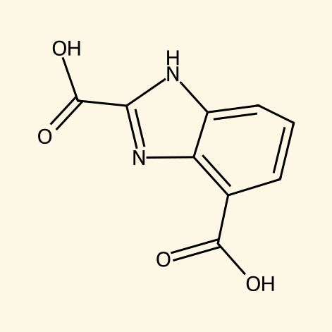 O=C(O)c1nc2c(C(=O)O)cccc2[nH]1